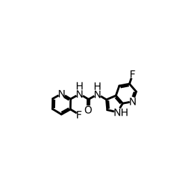 O=C(Nc1ncccc1F)Nc1c[nH]c2ncc(F)cc12